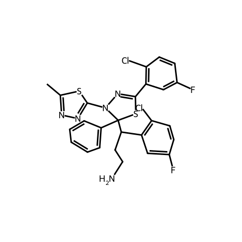 Cc1nnc(N2N=C(c3cc(F)ccc3Cl)SC2(c2ccccc2)C(CCN)c2cc(F)ccc2Cl)s1